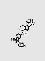 COc1c(C#N)ccc2c1CCCC2Nc1ccc2[nH]nc(-c3cnco3)c2c1